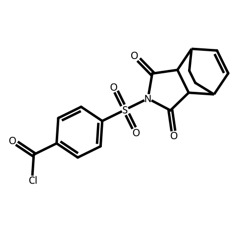 O=C(Cl)c1ccc(S(=O)(=O)N2C(=O)C3C4C=CC(CC4)C3C2=O)cc1